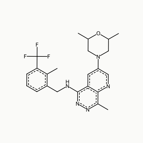 Cc1c(CNc2nnc(C)c3ncc(N4CC(C)OC(C)C4)cc23)cccc1C(F)(F)F